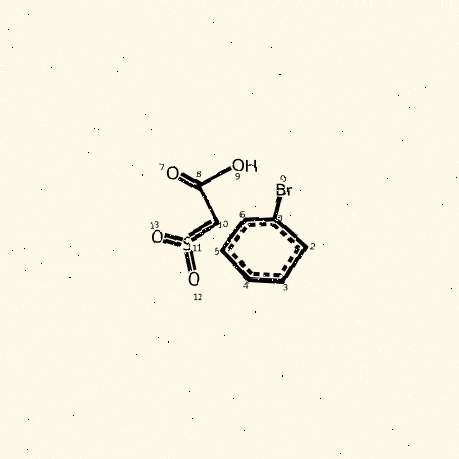 Brc1ccccc1.O=C(O)C=S(=O)=O